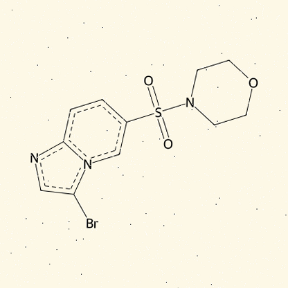 O=S(=O)(c1ccc2ncc(Br)n2c1)N1CCOCC1